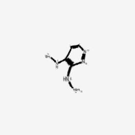 CC(C)Nc1ccnnc1NN